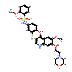 COc1cc2c(Oc3ccc(NS(=O)(=O)c4ccccc4OC)cc3F)ccnc2cc1OCCN1CCOCC1